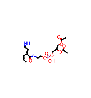 C/C=C\C(=C/C=N)C(=O)NCCOP(=O)(O)OCC(COC(C)=O)OC(C)=O